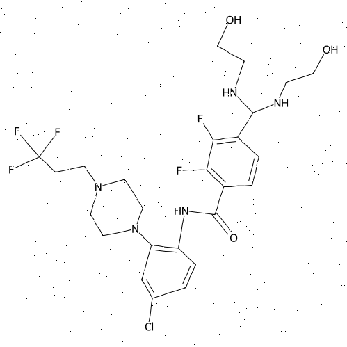 O=C(Nc1ccc(Cl)cc1N1CCN(CCC(F)(F)F)CC1)c1ccc(C(NCCO)NCCO)c(F)c1F